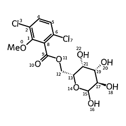 COc1c(Cl)ccc(Cl)c1C(=O)OC[C@H]1OC(O)[C@H](O)[C@@H](O)[C@H]1O